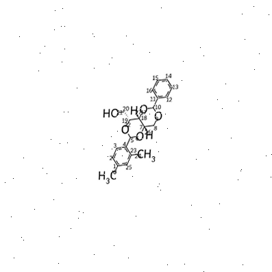 Cc1ccc(C2O[C@H]3COC(c4ccccc4)O[C@H]3[C@@H](CO)O2)c(C)c1